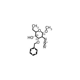 CCC1O[C@H](OC)C(N=[N+]=[N-])[C@H](OCc2ccccc2)[C@@H]1O